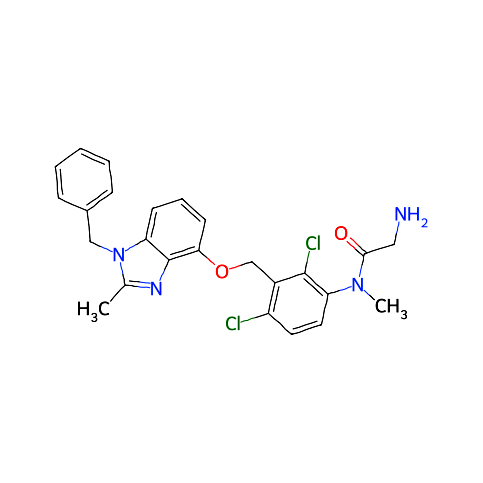 Cc1nc2c(OCc3c(Cl)ccc(N(C)C(=O)CN)c3Cl)cccc2n1Cc1ccccc1